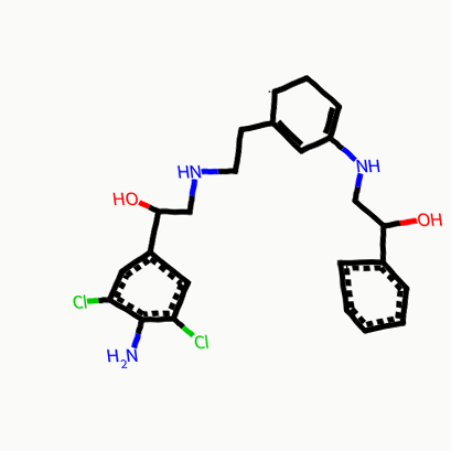 Nc1c(Cl)cc(C(O)CNCCC2=CC(NCC(O)c3ccccc3)=CC[CH]2)cc1Cl